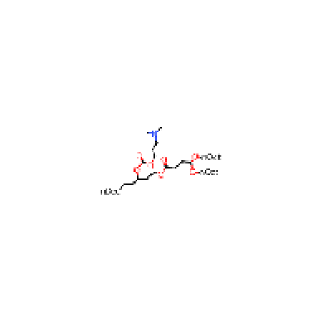 CCCCCCCCCCCCC(CCOC(=O)CCC(OCCCCCCCC)OCCCCCCCC)OC(=O)OCCCN(C)C